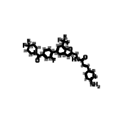 Nc1ccc(C=CC(=O)NCc2cc3cc(-c4ccc(C(=O)N5CCC(F)(F)CC5)cc4F)cc(C(F)(F)F)c3o2)cn1